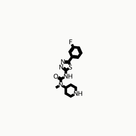 CN(C(=O)Nc1nnc(-c2cccc(F)c2)s1)C1CCNCC1